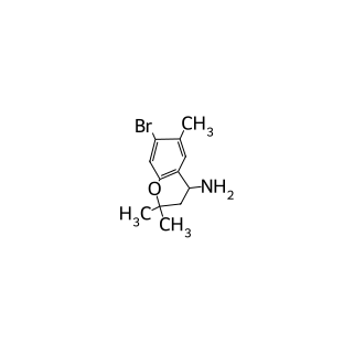 Cc1cc2c(cc1Br)OC(C)(C)CC2N